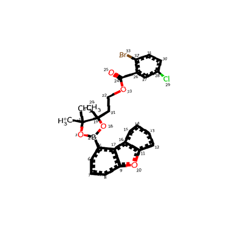 CC1(C)OB(c2cccc3oc4ccccc4c23)OC1(C)CCOC(=O)c1cc(Cl)ccc1Br